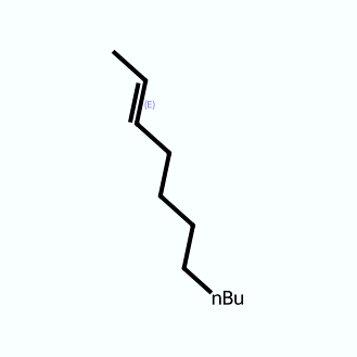 C/C=C/CCCCCCCC